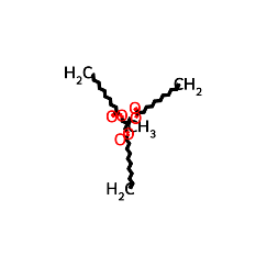 C=CCCCCCCCCC(=O)OCC(C)(COC(=O)CCCCCCCCC=C)COC(=O)CCCCCCCCC=C